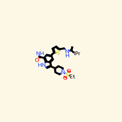 CCS(=O)(=O)N1CCC(c2c[nH]c3c(C(N)=O)cc(-c4ccc(CNC(C)C(C)C)s4)cc23)CC1